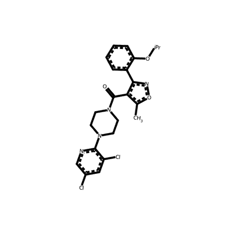 Cc1onc(-c2ccccc2OC(C)C)c1C(=O)N1CCN(c2ncc(Cl)cc2Cl)CC1